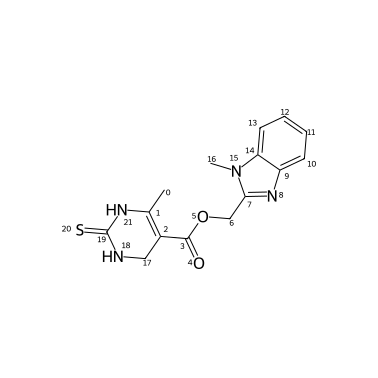 CC1=C(C(=O)OCc2nc3ccccc3n2C)CNC(=S)N1